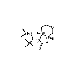 C[SiH](C)OC([C@H]1C(=O)C[C@H]2COCC[C@H]21)C(C)(C)C